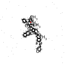 Cc1cc(OCCN2CCOCC2)c(F)cc1CC(=O)N1CCc2cc(-c3cc(C(=O)N(c4ccccc4)c4cnn(C)c4)c(C)n3C)c(C(=O)N3Cc4ccccc4C[C@H]3C)cc2C1